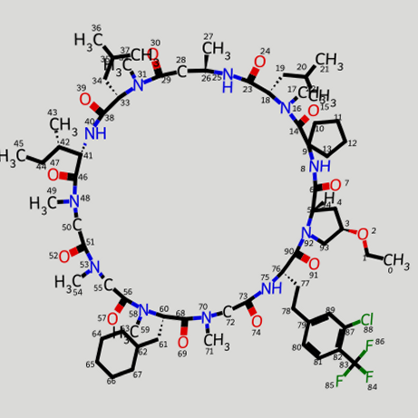 CCO[C@@H]1C[C@H]2C(=O)NC3(CCCC3)C(=O)N(C)[C@@H](CC(C)C)C(=O)N[C@H](C)CC(=O)N(C)[C@@H](CC(C)C)C(=O)N[C@@H]([C@@H](C)CC)C(=O)N(C)CC(=O)N(C)CC(=O)N(C)[C@@H](CC3CCCCC3)C(=O)N(C)CC(=O)N[C@@H](CCc3ccc(C(F)(F)F)c(Cl)c3)C(=O)N2C1